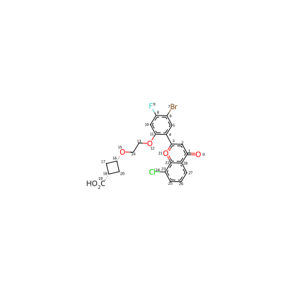 O=c1cc(-c2cc(Br)c(F)cc2OCCO[C@H]2C[C@@H](C(=O)O)C2)oc2c(Cl)cccc12